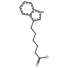 O=C(Cl)CCCCCc1c[nH]c2ccccc12